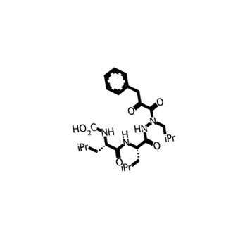 CC(C)C[C@H](NC(=O)O)C(=O)N[C@@H](CC(C)C)C(=O)NN(CC(C)C)C(=O)C(=O)Cc1ccccc1